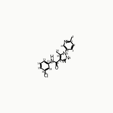 Cc1ccc(-n2nnc(C(=O)Nc3cccc(Cl)c3)c2C)cn1